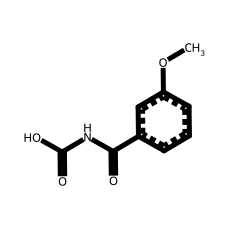 COc1cccc(C(=O)NC(=O)O)c1